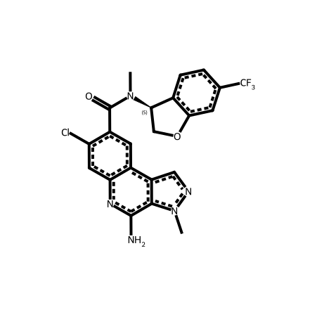 CN(C(=O)c1cc2c(cc1Cl)nc(N)c1c2cnn1C)[C@@H]1COc2cc(C(F)(F)F)ccc21